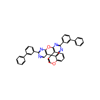 c1ccc(-c2cccc(-c3ncc4c(n3)Oc3nc(-c5cccc(-c6ccccc6)c5)ncc3C43c4ccccc4Oc4ccccc43)c2)cc1